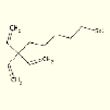 C=CC(C=C)(C=C)CCCC[CH2][Sn]